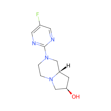 O[C@@H]1C[C@H]2CN(c3ncc(F)cn3)CCN2C1